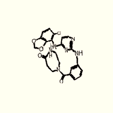 O=C1CCN(C(=O)c2cccc(Nc3nccc(Nc4c(Cl)ccc5c4OCO5)n3)c2)CCN1